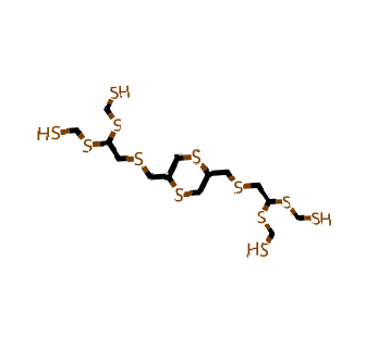 SCSC(CSCC1CSC(CSCC(SCS)SCS)CS1)SCS